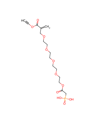 C#COC(=O)C(=C)COCCOCCOCCOCCOC(=O)CP(=O)(O)O